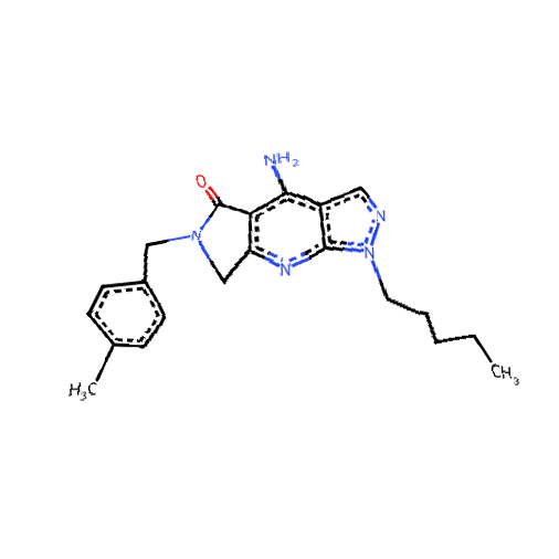 CCCCCn1ncc2c(N)c3c(nc21)CN(Cc1ccc(C)cc1)C3=O